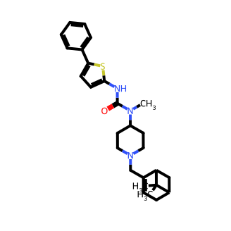 CN(C(=O)Nc1ccc(-c2ccccc2)s1)C1CCN(CC2=CCC3CC2C3(C)C)CC1